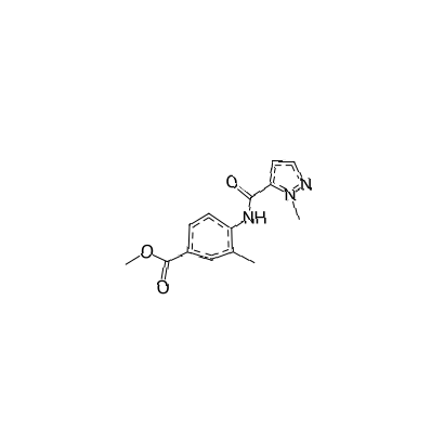 COC(=O)c1ccc(NC(=O)c2ccnn2C)c(C)c1